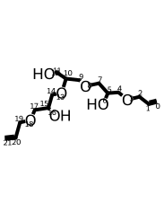 C=CCOCC(O)COCC(CO)OCC(O)COCC=C